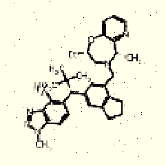 CC[C@@H]1CN(Cc2cc([C@@H](c3ccc4c(nnn4C)c3C)C(C)(C)C(=O)O)cc3c2CCC3)[C@@H](C)c2ncccc2O1